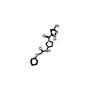 CC(C)c1cc(C(=O)N2CCC(NC(=O)COc3ccccc3)C2)[nH]n1